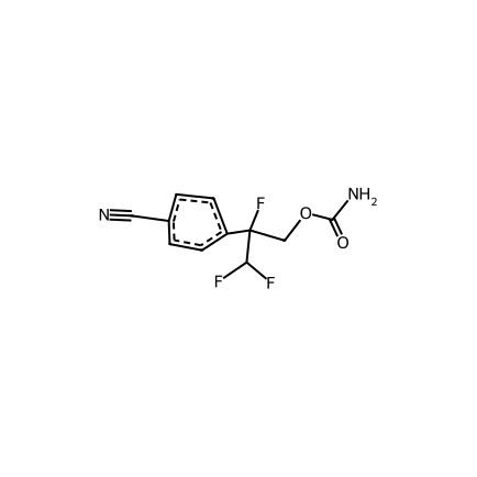 N#Cc1ccc(C(F)(COC(N)=O)C(F)F)cc1